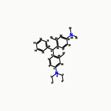 CCN(CC)c1ccc(C(c2ccccc2)c2ccc(N(C)C)cc2C)c(C)c1